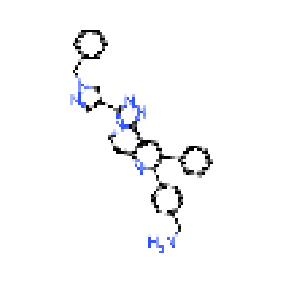 NCc1ccc(-c2nc3ccn4c(-c5cnn(Cc6ccccc6)c5)nnc4c3cc2-c2ccccc2)cc1